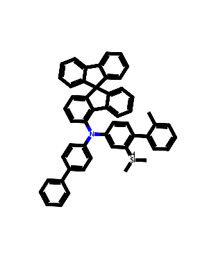 Cc1ccccc1-c1ccc(N(c2ccc(-c3ccccc3)cc2)c2cccc3c2-c2ccccc2C32c3ccccc3-c3ccccc32)cc1[SiH](C)C